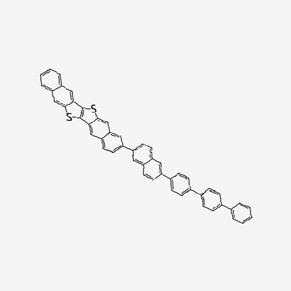 c1ccc(-c2ccc(-c3ccc(-c4ccc5cc(-c6ccc7cc8c(cc7c6)sc6c7cc9ccccc9cc7sc86)ccc5c4)cc3)cc2)cc1